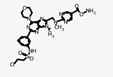 CN(Cc1nc2c(N3CCOCC3)nc(-c3cccc(NS(=O)(=O)CCCl)c3)nc2n1C)c1ncc(C(=O)ON)cn1